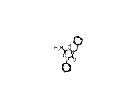 NC(=O)NN(Cc1ccccc1)C(=O)Oc1ccccc1